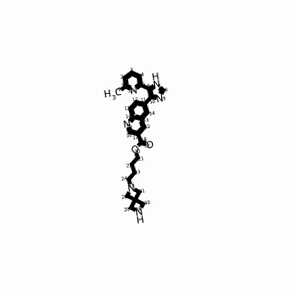 Cc1cccc(-c2[nH]cnc2-c2ccc3ncc(C(=O)OCCCCN4CC5(CNC5)C4)cc3c2)n1